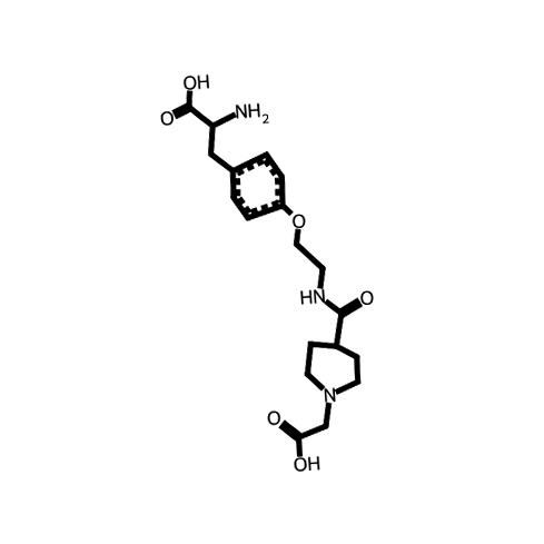 NC(Cc1ccc(OCCNC(=O)C2CCN(CC(=O)O)CC2)cc1)C(=O)O